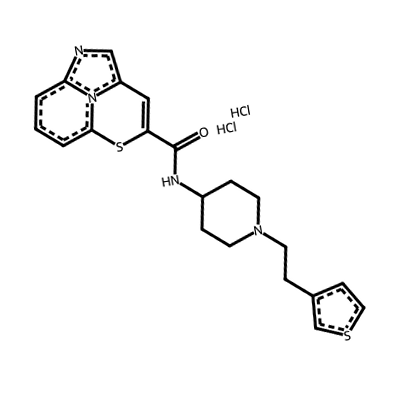 Cl.Cl.O=C(NC1CCN(CCc2ccsc2)CC1)C1=Cc2cnc3cccc(n23)S1